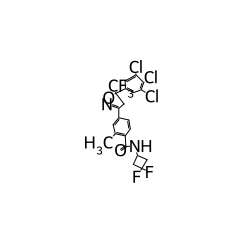 Cc1cc(C2=NOC(c3cc(Cl)c(Cl)c(Cl)c3)(C(F)(F)F)C2)ccc1C(=O)NC1CC(F)(F)C1